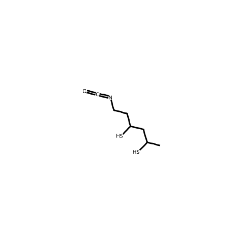 CC(S)CC(S)CCN=C=O